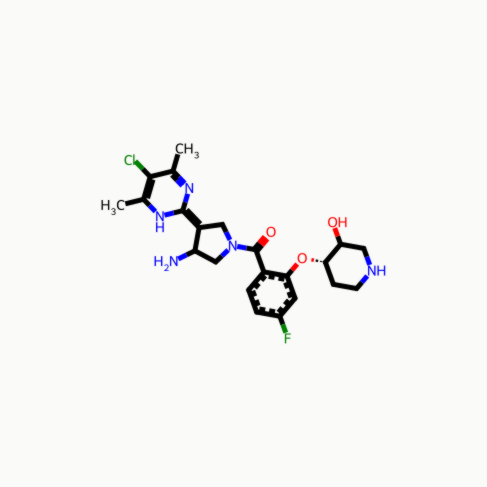 CC1=N/C(=C2\CN(C(=O)c3ccc(F)cc3O[C@H]3CCNCC3O)CC2N)NC(C)=C1Cl